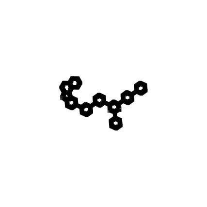 c1ccc(-c2ccc(-c3cc(-c4cccc(-c5cccc(-c6ccc7sc8ccc9ccccc9c8c7c6)c5)c4)nc(-c4ccccc4)n3)cc2)cc1